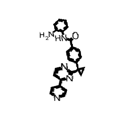 Nc1ccccc1NC(=O)c1ccc(C2(c3nccc(-c4ccncc4)n3)CC2)cc1